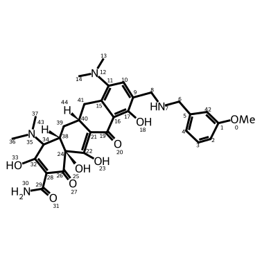 COc1cccc(CNCc2cc(N(C)C)c3c(c2O)C(=O)C2=C(O)[C@]4(O)C(=O)C(C(N)=O)=C(O)C(N(C)C)[C@@H]4C[C@@H]2C3)c1